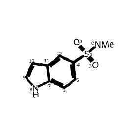 CNS(=O)(=O)c1ccc2[nH]ccc2c1